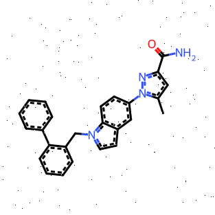 Cc1cc(C(N)=O)nn1-c1ccc2c(ccn2Cc2ccccc2-c2ccccc2)c1